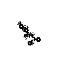 COc1ccc(Cn2cc(-c3nc([S+]([O-])CCC(OCc4ccccc4F)c4ccccc4)nc4sccc34)cc(F)c2=O)cc1F